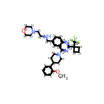 COc1ccccc1C1CCN(c2nc(C3(C(F)(F)F)CCC3)nc3ccc(CNCCN4CCOCC4)cc23)CC1